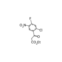 CCOC(=O)CC(=O)c1cc([N+](=O)[O-])c(F)cc1Cl